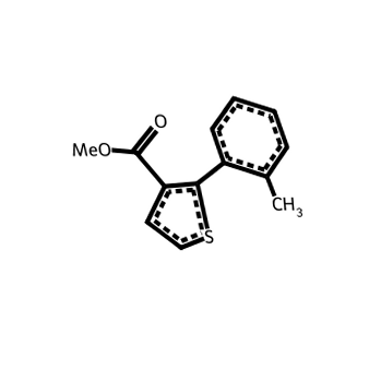 COC(=O)c1ccsc1-c1ccccc1C